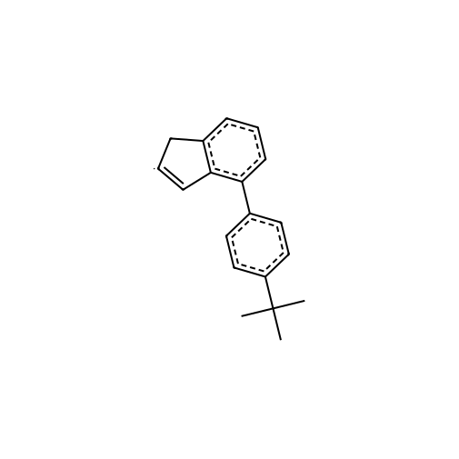 CC(C)(C)c1ccc(-c2cccc3c2C=[C]C3)cc1